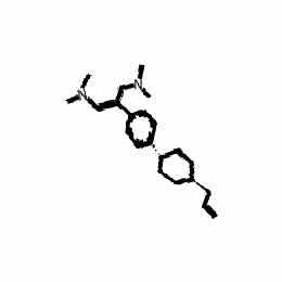 C=CC[C@H]1CC[C@H](c2ccc(C(=CN(C)C)CN(C)C)cc2)CC1